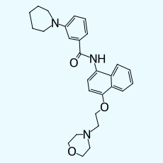 O=C(Nc1ccc(OCCN2CCOCC2)c2ccccc12)c1cccc(N2CCCCC2)c1